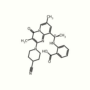 Cc1cc([C@@H](C)Nc2ccccc2C(=O)O)c2nc(N3CCC(C#N)CC3)c(C)c(=O)n2c1